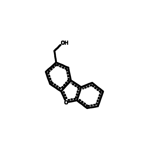 OCc1ccc2oc3ccccc3c2c1